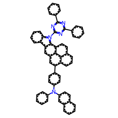 c1ccc(-c2nc(-c3ccccc3)nc(-n3c4ccccc4c4cc5cc(-c6ccc(N(c7ccccc7)c7ccc8ccccc8c7)cc6)c6cccc7ccc(c5c76)c43)n2)cc1